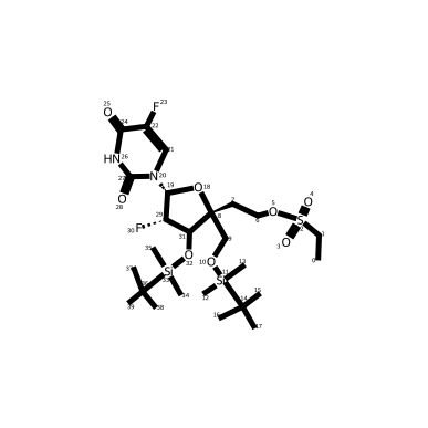 CCS(=O)(=O)OCC[C@]1(CO[Si](C)(C)C(C)(C)C)O[C@@H](n2cc(F)c(=O)[nH]c2=O)[C@@H](F)C1O[Si](C)(C)C(C)(C)C